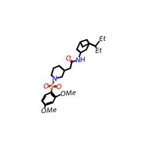 CCC(CC)C12CC(CC(NC(=O)CC3CCCN(S(=O)(=O)c4ccc(OC)cc4OC)C3)C1)C2